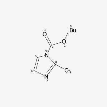 CCC(C)OC(=O)n1ccnc1[O]